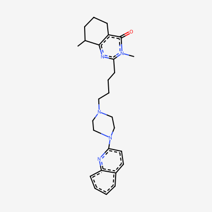 CC1CCCc2c1nc(CCCCN1CCN(c3ccc4ccccc4n3)CC1)n(C)c2=O